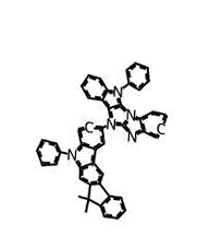 CC1(C)c2ccccc2-c2cc3c4cc(-n5c6c7ccccc7n(-c7ccccc7)c6n6c7ccccc7nc56)ccc4n(-c4ccccc4)c3cc21